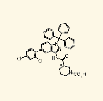 O=C(Nc1nn(C(c2ccccc2)(c2ccccc2)c2ccccc2)c2ccc(-c3ccc(Cl)cc3Cl)cc12)[C@@H]1CCCN(C(=O)O)C1